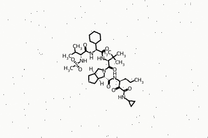 CCC[C@H](NC(=O)[C@@H]1[C@H]2CCC[C@H]2CN1C(=O)[C@@H](NC(=O)[C@@H](NC(=O)[C@H](NS(C)(=O)=O)C(C)C)C1CCCCC1)C(C)(C)C)C(=O)C(=O)NC1CC1